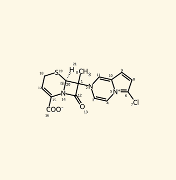 CC1(n2cc[n+]3c(Cl)ccc-3c2)C(=O)N2C(C(=O)[O-])=CCS[C@H]21